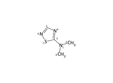 CN(C)c1ncns1